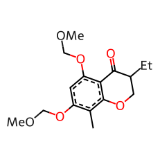 CCC1COc2c(C)c(OCOC)cc(OCOC)c2C1=O